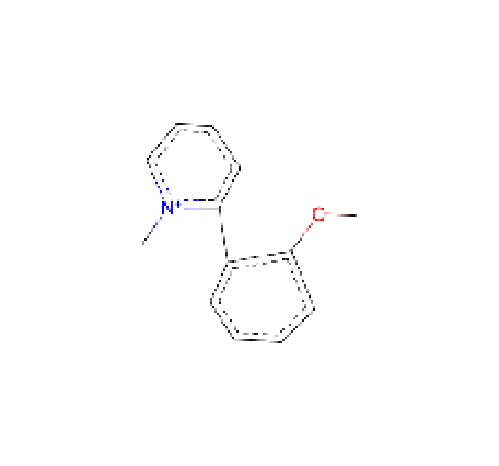 COc1ccccc1-c1cccc[n+]1C